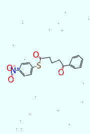 O=C(CCCC(=O)c1ccccc1)Sc1ccc([N+](=O)[O-])cc1